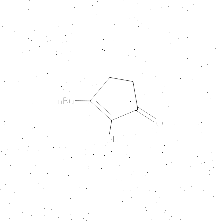 CCCCC1=C(O)C(=O)CC1